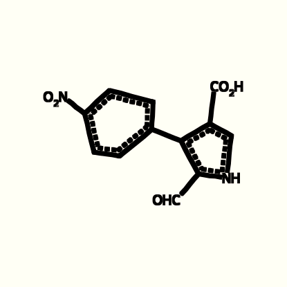 O=Cc1[nH]cc(C(=O)O)c1-c1ccc([N+](=O)[O-])cc1